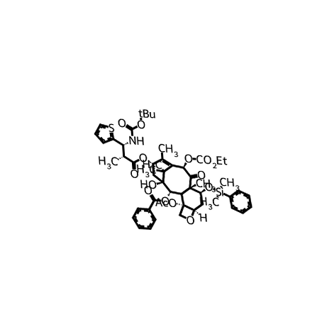 CCOC(=O)O[C@H]1C(=O)[C@@]2(C)C([C@H](OC(=O)c3ccccc3)[C@]3(O)C[C@H](OC(=O)[C@H](C)[C@@H](NC(=O)OC(C)(C)C)c4cccs4)C(C)=C1C3(C)C)[C@]1(OC(C)=O)CO[C@@H]1C[C@@H]2O[Si](C)(C)c1ccccc1